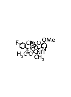 COc1ccnc(C(=O)N[C@@H](C)C(=O)O[C@H](C)[C@H](c2ccc(F)cc2C)C(C)C)c1OC(C)=O